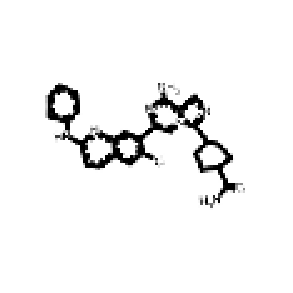 NC(=O)C1CCC(c2ncc3c(N)nc(-c4cc5nc(Nc6ccccc6)ccc5cc4Cl)cn23)CC1